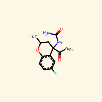 COC(=O)C1(NC(N)=O)CC(C)Oc2ccc(F)cc21